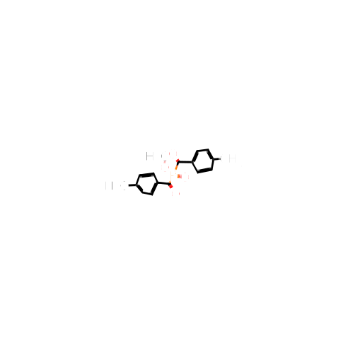 COP(=O)(C(=O)c1ccc(C)cc1)C(=O)c1ccc(C)cc1